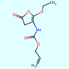 C=CCOC(=O)NC1=C(OCC)OC(=O)C1